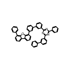 c1ccc(-c2cccc(-c3nc(-c4ccccc4)nc(-c4cccc(-c5cccc(-c6cccc7c6oc6c(-c8ccccc8)cccc67)c5)c4)n3)c2)cc1